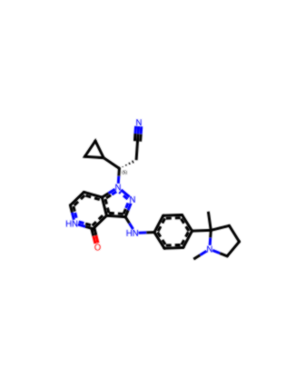 CN1CCCC1(C)c1ccc(Nc2nn([C@@H](CC#N)C3CC3)c3cc[nH]c(=O)c23)cc1